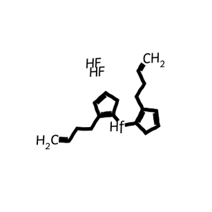 C=CCCC1=[C]([Hf][C]2=C(CCC=C)C=CC2)CC=C1.F.F